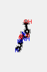 CN1C(=O)[C@H](NC(=O)n2cc(Cc3ccncc3)cn2)COc2ccc(C#CC(C)(C)O)cc21